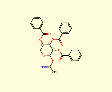 N=C(OC1OC[C@@H](OC(=O)c2ccccc2)[C@@H](OC(=O)c2ccccc2)[C@@H]1OC(=O)c1ccccc1)C(Cl)(Cl)Cl